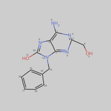 Nc1nc(CO)nc2c1nc(O)n2Cc1ccccc1